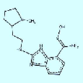 CN1CCCC1CCNc1nc2cccc(C(N)=NO)c2[nH]1